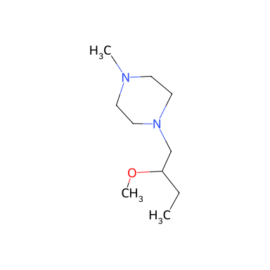 CCC(CN1CCN(C)CC1)OC